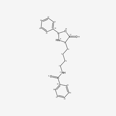 O=C(NCCCCC1NC(c2ccccc2)OC1=O)c1ccccc1